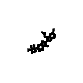 COCn1c(-c2nc3cc(C(F)(F)C(F)(F)F)nnc3n2C)cc2ccc(F)cc21